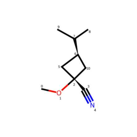 CO[C@]1(C#N)C[C@@H](C(C)C)C1